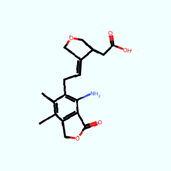 Cc1c(C)c2c(c(N)c1CC=C1COCC1CC(=O)O)C(=O)OC2